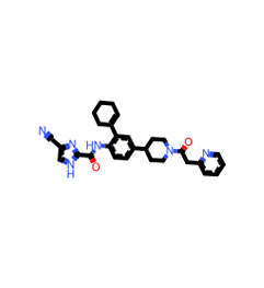 N#Cc1c[nH]c(C(=O)Nc2ccc(C3CCN(C(=O)Cc4ccccn4)CC3)cc2C2=CCCCC2)n1